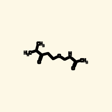 CC(=O)NCOCCC(=O)C(C)C